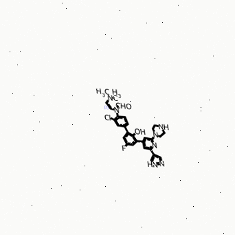 CN(C)/C=C\N(C=O)c1ccc(-c2cc(F)cc(-c3cc(-c4cn[nH]c4)nc(N4CCNCC4)c3)c2O)cc1Cl